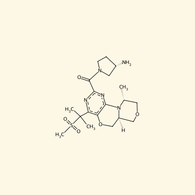 C[C@@H]1COC[C@H]2COc3c(nc(C(=O)N4CC[C@H](N)C4)nc3C(C)(C)S(C)(=O)=O)N21